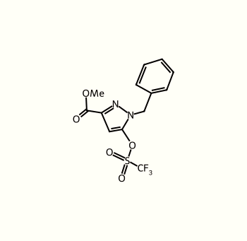 COC(=O)c1cc(OS(=O)(=O)C(F)(F)F)n(Cc2ccccc2)n1